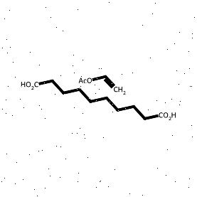 C=COC(C)=O.O=C(O)CCCCCCCCC(=O)O